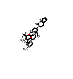 CN1CCN(C2CCN(C3(CC=O)CC(N4CCc5ccccc5NC4=O)CC[N@+]3(Cc3cc(C(F)(F)F)c(N)c(C(F)(F)F)c3)C(=O)[O-])CC2)CC1